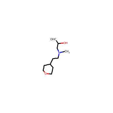 CN(CCC1CCOCC1)CC(O)C=O